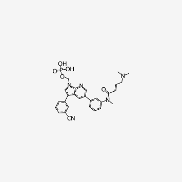 CN(C)CC=CC(=O)N(C)c1cccc(-c2cnc3c(c2)c(-c2cccc(C#N)c2)cn3COP(=O)(O)O)c1